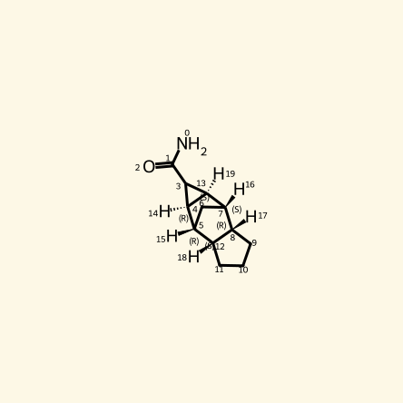 NC(=O)C1[C@@H]2[C@@H]3C[C@@H]([C@@H]4CCC[C@@H]43)[C@H]12